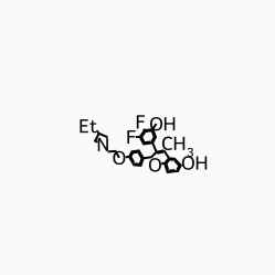 CCC1CN(CCOc2ccc(C3Oc4ccc(O)cc4C(C)=C3c3cc(O)c(F)c(F)c3)cc2)C1